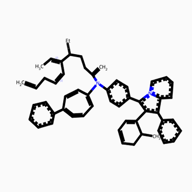 C=CC/C=C\C(=C/C)C(CC)CCC(=C)N(C1=CC=C=C(c2ccccc2)C=C1)c1ccc(-c2c(C3=CC=CCC3C)c(-c3ccccc3)c3ccccn23)cc1